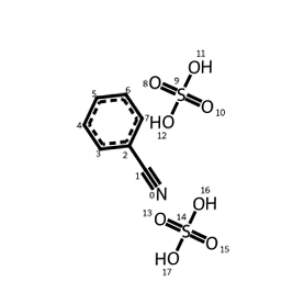 N#Cc1ccccc1.O=S(=O)(O)O.O=S(=O)(O)O